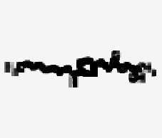 CCCCCCCCNc1ccc(CCC(=O)OCC(C)O)cc1